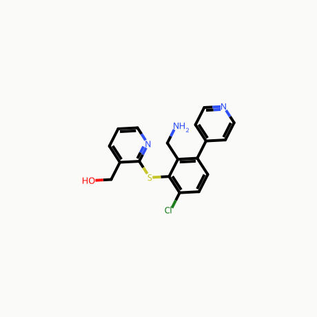 NCc1c(-c2ccncc2)ccc(Cl)c1Sc1ncccc1CO